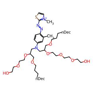 CCCCCCCCCCCCCOCC(CN(CC(COCCCCCCCCCCCCC)OCCOCCOCCO)c1ccc(/N=N/c2scc[n+]2C)c(C)c1)OCCOCCO